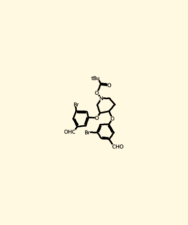 CC(C)(C)C(=O)ON1CCC(Oc2cc(Br)cc(C=O)c2)C(Oc2cc(Br)cc(C=O)c2)C1